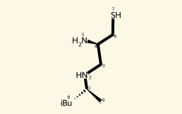 [CH2][C@H](NC[C@@H](N)CS)[C@@H](C)CC